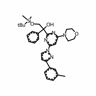 Cc1cccc(-c2ccn(-c3cc(N4CCOCC4)nc(C(O)(CO[Si](C)(C)C(C)(C)C)c4ccccc4)n3)n2)c1